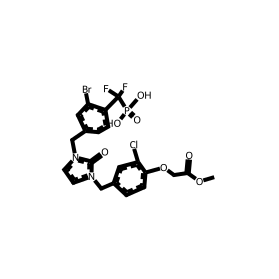 COC(=O)COc1ccc(Cn2ccn(Cc3ccc(C(F)(F)P(=O)(O)O)c(Br)c3)c2=O)cc1Cl